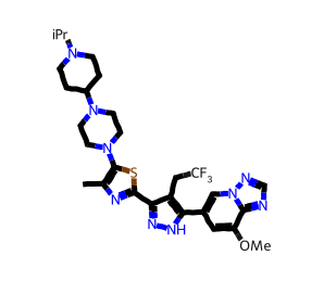 COc1cc(-c2[nH]nc(-c3nc(C)c(N4CCN(C5CCN(C(C)C)CC5)CC4)s3)c2CC(F)(F)F)cn2ncnc12